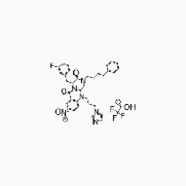 O=C(O)C(F)(F)F.O=C1[C@H](Cc2cccc(F)c2)N2C(=O)c3cc([N+](=O)[O-])ccc3N(CCCn3ccnc3)C2CN1CCCCc1ccccc1